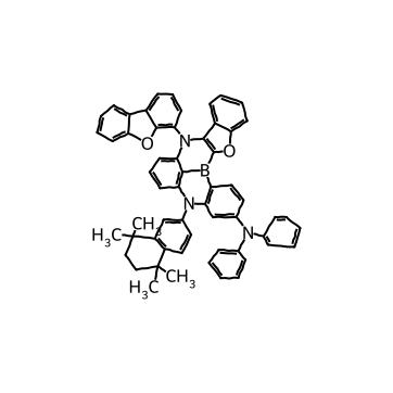 CC1(C)CCC(C)(C)c2cc(N3c4cc(N(c5ccccc5)c5ccccc5)ccc4B4c5oc6ccccc6c5N(c5cccc6c5oc5ccccc56)c5cccc3c54)ccc21